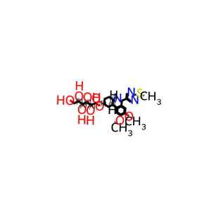 CCOc1cc2c(cc1OC)C(c1cnc(SC)nc1)=N[C@@H]1CC[C@@H](OC(=O)[C@H](O)[C@@H](O)[C@H](O)[C@H](O)CO)C[C@H]21